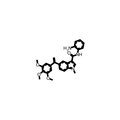 C=C(c1cc(OC)c(OC)c(OC)c1)c1ccc2c(c1)c(C(=O)Nc1ccccc1N)cn2C